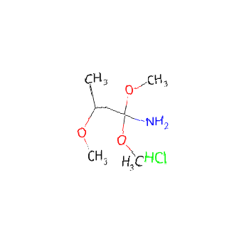 COC(C)C(N)(OC)OC.Cl